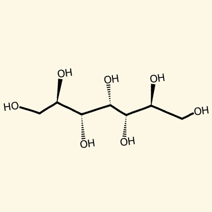 OC[C@@H](O)[C@@H](O)[C@H](O)[C@@H](O)[C@@H](O)CO